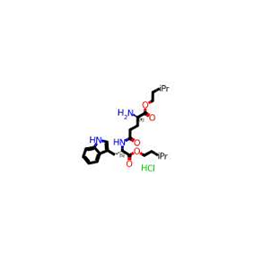 CC(C)CCOC(=O)[C@H](N)CCC(=O)N[C@@H](Cc1c[nH]c2ccccc12)C(=O)OCCC(C)C.Cl